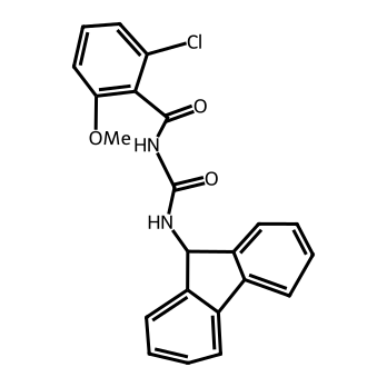 COc1cccc(Cl)c1C(=O)NC(=O)NC1c2ccccc2-c2ccccc21